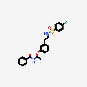 CC(NC(=O)c1ccccc1)Oc1cccc(CCNS(=O)(=O)c2ccc(Cl)cc2)c1